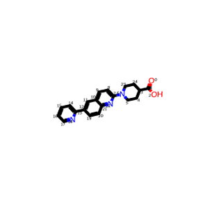 O=C(O)C1CCN(c2ccc3cc(-c4ccccn4)ccc3n2)CC1